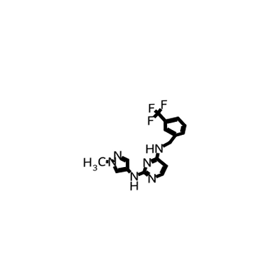 Cn1cc(Nc2nccc(NCc3cccc(C(F)(F)F)c3)n2)cn1